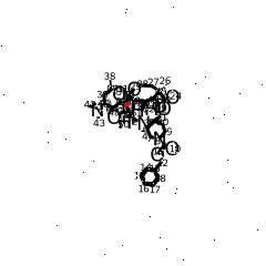 C[C@H]1CN(C)C2(CCN(C(=O)OCc3ccccc3)CC2)COC(=O)[C@]2(C)CCO[C@](C)(C1)[C@H](O[C@@H]1O[C@H](C)C[C@H](N(C)C)[C@H]1O)[C@@H](C)C2=O